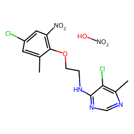 Cc1cc(Cl)cc([N+](=O)[O-])c1OCCNc1ncnc(C)c1Cl.O=[N+]([O-])O